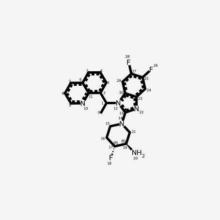 CC(c1cccc2cccnc12)n1c(N2CC[C@@H](F)[C@H](N)C2)nc2cc(F)c(F)cc21